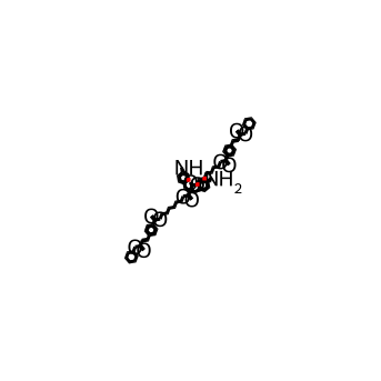 Nc1ccc(CC(Cc2ccc(N)cc2)(C(=O)OCCCCCCOC(=O)c2ccc(/C=C/C(=O)OC3CCCCC3)cc2)C(=O)OCCCCCCOC(=O)c2ccc(/C=C/C(=O)OC3CCCCC3)cc2)cc1